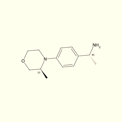 C[C@@H](N)c1ccc(N2CCOC[C@@H]2C)cc1